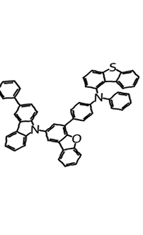 c1ccc(-c2ccc3c(c2)c2ccccc2n3-c2cc(-c3ccc(N(c4ccccc4)c4cccc5sc6ccccc6c45)cc3)c3oc4ccccc4c3c2)cc1